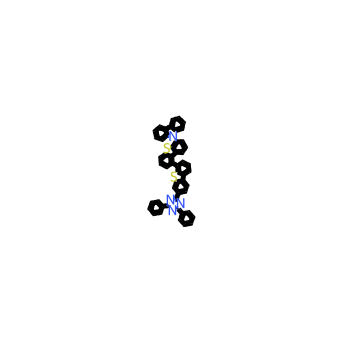 c1ccc(-c2nc(-c3ccccc3)nc(-c3ccc4c(c3)sc3c(-c5cccc6sc7c(-n8c9ccccc9c9ccccc98)cccc7c56)cccc34)n2)cc1